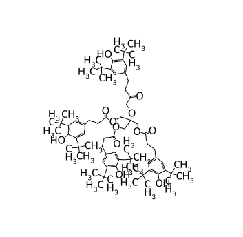 CC(C)(C)c1cc(CCC(=O)COC(COC(=O)CCc2cc(C(C)(C)C)c(O)c(C(C)(C)C)c2)(COC(=O)CCc2cc(C(C)(C)C)c(O)c(C(C)(C)C)c2)COC(=O)CCc2cc(C(C)(C)C)c(O)c(C(C)(C)C)c2)cc(C(C)(C)C)c1O